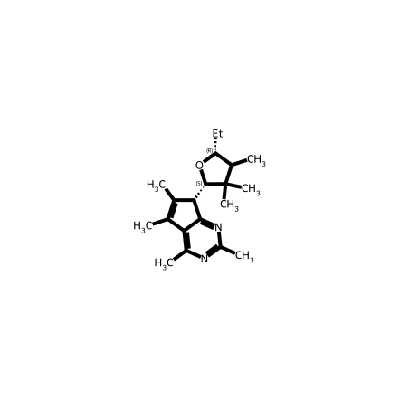 CC[C@H]1O[C@@H](C2C(C)=C(C)c3c(C)nc(C)nc32)C(C)(C)C1C